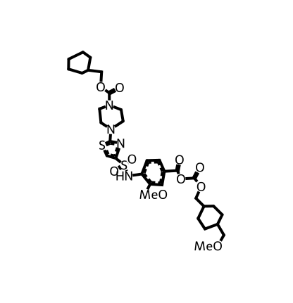 COCC1CCC(COC(=O)OC(=O)c2ccc(NS(=O)(=O)c3csc(N4CCN(C(=O)OCC5CCCCC5)CC4)n3)c(OC)c2)CC1